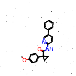 COc1ccc(C2(C(=O)Nc3ccc(-c4ccccc4)cn3)CC2)cc1